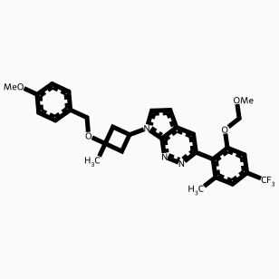 COCOc1cc(C(F)(F)F)cc(C)c1-c1cc2ccn(C3CC(C)(OCc4ccc(OC)cc4)C3)c2nn1